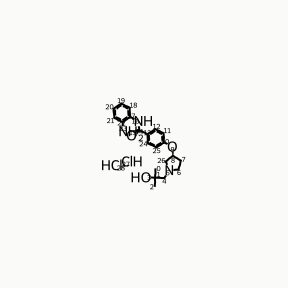 CC(C)(O)CN1CC[C@H](Oc2ccc(C(=O)Nc3ccccc3N)cc2)C1.Cl.Cl